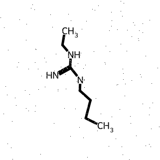 CCCC[N]C(=N)NCC